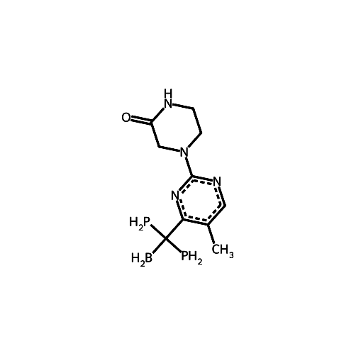 BC(P)(P)c1nc(N2CCNC(=O)C2)ncc1C